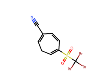 N#CC1=CCC=C(S(=O)(=O)C(Br)(Br)Br)C=C1